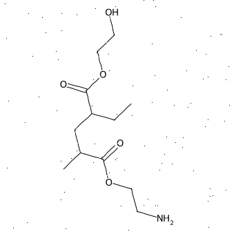 CCC(CC(C)C(=O)OCCN)C(=O)OCCO